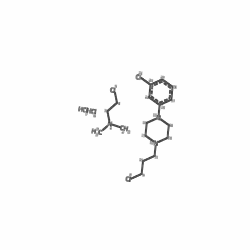 CN(C)CCCl.Cl.Cl.ClCCCN1CCN(c2cccc(Cl)c2)CC1